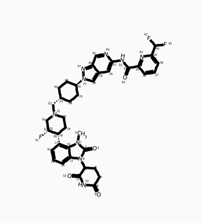 Cn1c(=O)n(C2CCC(=O)NC2=O)c2cccc([C@H]3CCN(C[C@H]4CC[C@H](n5cc6cc(NC(=O)c7cccc(C(F)F)n7)ncc6n5)CC4)C[C@H]3F)c21